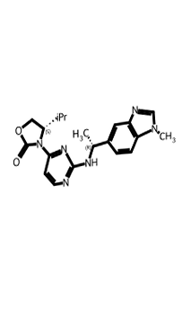 CC(C)[C@H]1COC(=O)N1c1ccnc(N[C@H](C)c2ccc3c(c2)ncn3C)n1